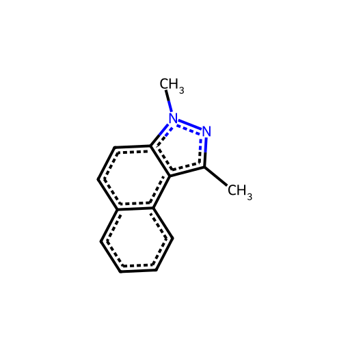 Cc1nn(C)c2ccc3ccccc3c12